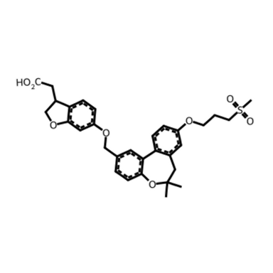 CC1(C)Cc2cc(OCCCS(C)(=O)=O)ccc2-c2cc(COc3ccc4c(c3)OCC4CC(=O)O)ccc2O1